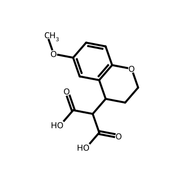 COc1ccc2c(c1)C(C(C(=O)O)C(=O)O)CCO2